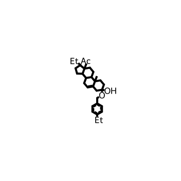 CCc1ccc(COC2(O)CCC3(C)C(=CCC4C3CCC3(C)C4CCC3(CC)C(C)=O)C2)cc1